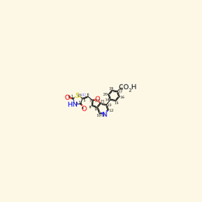 O=C1NC(=O)/C(=C\c2cc3cncc(-c4ccc(C(=O)O)cc4)c3o2)S1